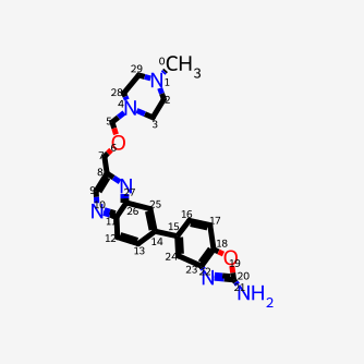 CN1CCN(COCc2cnc3ccc(-c4ccc5oc(N)nc5c4)cc3n2)CC1